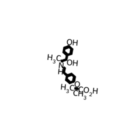 C[C@H](NCCc1ccc(OC(C)(C)C(=O)O)cc1)[C@@H](O)c1ccc(O)cc1